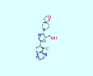 OCc1nc(-c2ccc3nccnc3c2Cl)cnc1N1CCC2(CCOC2)CC1